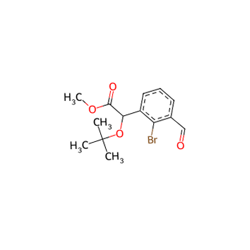 COC(=O)C(OC(C)(C)C)c1cccc(C=O)c1Br